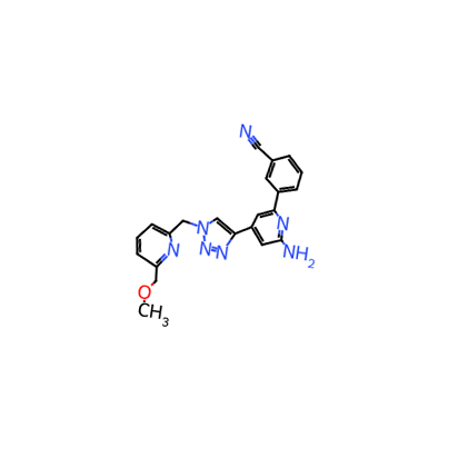 COCc1cccc(Cn2cc(-c3cc(N)nc(-c4cccc(C#N)c4)c3)nn2)n1